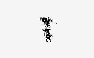 Cc1nn(Cc2c(F)cc(C#N)cc2F)c(C)c1NC(=O)c1cc(C(N)=O)c2ccc(F)cc2n1